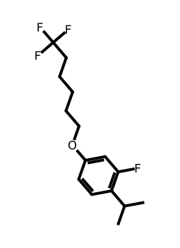 CC(C)c1ccc(OCCCCCC(F)(F)F)cc1F